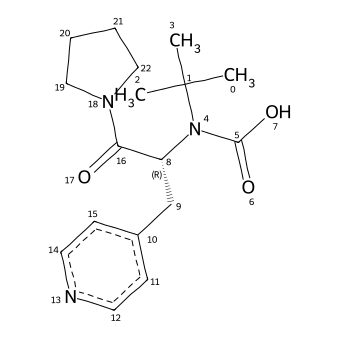 CC(C)(C)N(C(=O)O)[C@H](Cc1ccncc1)C(=O)N1CCCC1